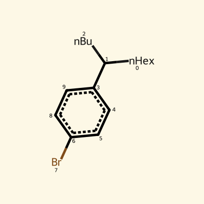 CCCCCCC(CCCC)c1ccc(Br)cc1